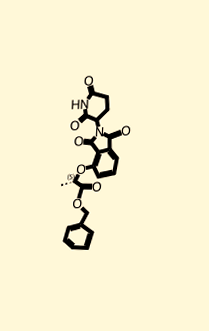 C[C@H](Oc1cccc2c1C(=O)N(C1CCC(=O)NC1=O)C2=O)C(=O)OCc1ccccc1